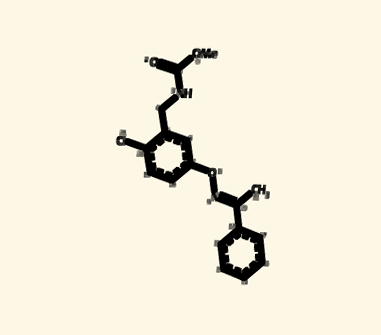 COC(=O)NCc1cc(O/N=C(\C)c2ccccc2)ccc1Cl